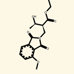 CCOC(=O)[C@@H](CN1C(=O)c2cccc(OC)c2C1=O)[C@@H](C)O